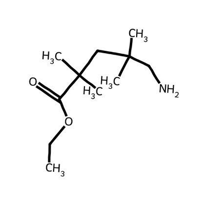 CCOC(=O)C(C)(C)CC(C)(C)CN